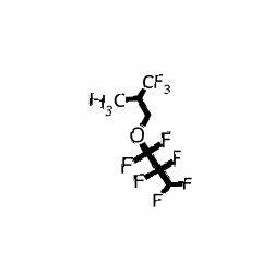 CC(COC(F)(F)C(F)(F)C(F)F)C(F)(F)F